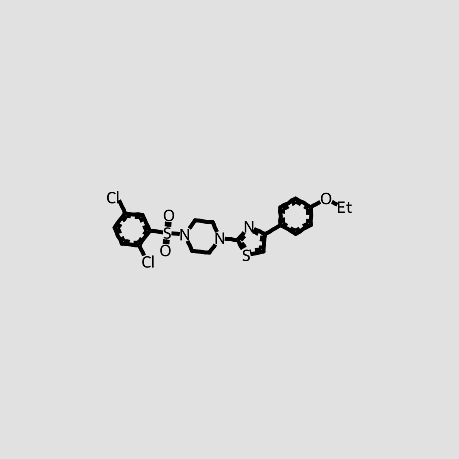 CCOc1ccc(-c2csc(N3CCN(S(=O)(=O)c4cc(Cl)ccc4Cl)CC3)n2)cc1